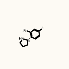 CC(C)c1cc(F)ccc1[C@@H]1CCCN1